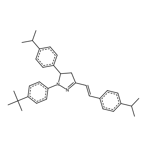 CC(C)c1ccc(C=CC2=NN(c3ccc(C(C)(C)C)cc3)C(c3ccc(C(C)C)cc3)C2)cc1